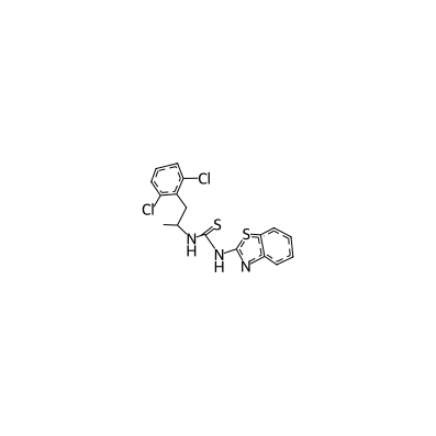 CC(Cc1c(Cl)cccc1Cl)NC(=S)Nc1nc2ccccc2s1